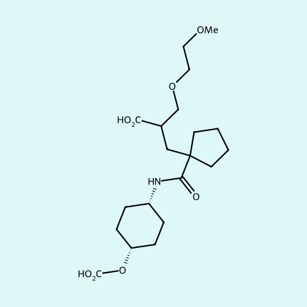 COCCOCC(CC1(C(=O)N[C@H]2CC[C@@H](OC(=O)O)CC2)CCCC1)C(=O)O